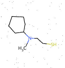 CN(CCS)C1CCCCC1